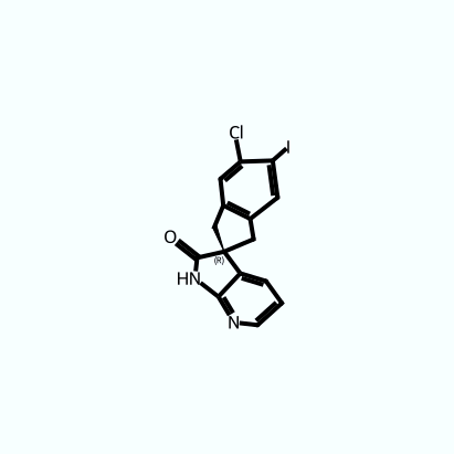 O=C1Nc2ncccc2[C@]12Cc1cc(Cl)c(I)cc1C2